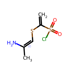 C=C(S/C=C(/C)N)S(=O)(=O)Cl